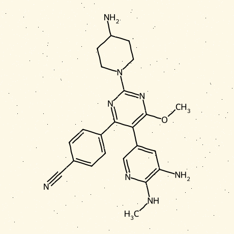 CNc1ncc(-c2c(OC)nc(N3CCC(N)CC3)nc2-c2ccc(C#N)cc2)cc1N